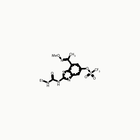 CCNC(=O)Nc1nc2cc(OS(=O)(=O)C(F)(F)F)cc(C(C)=NOC)c2s1